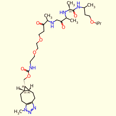 CC(CCOC(C)C)NC(=O)[C@H](C)NC(C)C(=O)CNC(C)C(=O)CCOCCOCCNC(=O)OC[C@@H]1[C@@H]2CCc3nnn(C)c3CC[C@@H]21